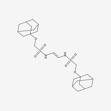 O=S(=O)(COC12CC3CC(CC(C3)C1)C2)NC=CNS(=O)(=O)COC12CC3CC(CC(C3)C1)C2